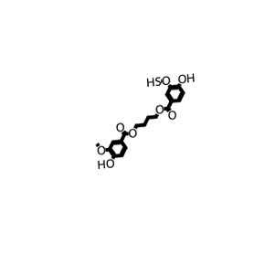 COc1cc(C(=O)OCCCCOC(=O)c2ccc(O)c(OS)c2)ccc1O